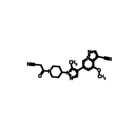 COc1cc(-c2cnn(C3CCN(C(=O)CC#N)CC3)c2C)cn2ncc(C#N)c12